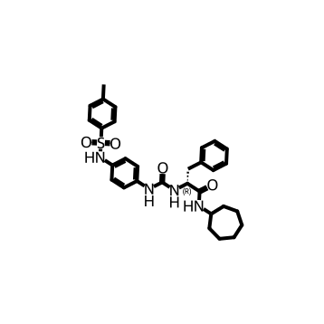 Cc1ccc(S(=O)(=O)Nc2ccc(NC(=O)N[C@H](Cc3ccccc3)C(=O)NC3CCCCCC3)cc2)cc1